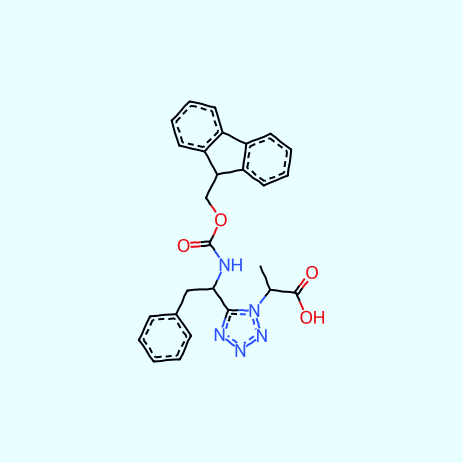 CC(C(=O)O)n1nnnc1C(Cc1ccccc1)NC(=O)OCC1c2ccccc2-c2ccccc21